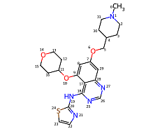 CN1CCC(COc2cc(OC3CCOCC3)c3c(Nc4nccs4)ncnc3c2)CC1